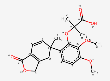 COc1ccc(C2(C)C=CC3=C(COC3=O)C2)c(OC(C)(C)C(=O)O)c1OC